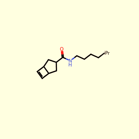 CC(C)CCCCNC(=O)C1CC2C=CC2C1